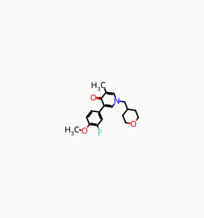 COc1ccc(-c2cn(CC3CCOCC3)cc(C)c2=O)cc1F